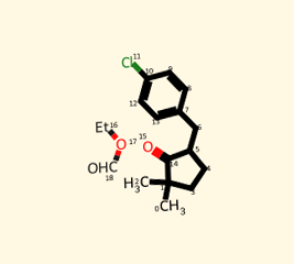 CC1(C)CCC(Cc2ccc(Cl)cc2)C1=O.CCOC=O